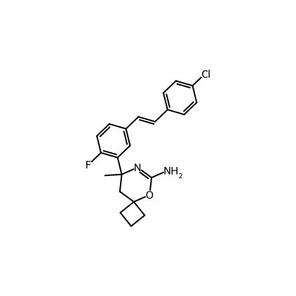 CC1(c2cc(C=Cc3ccc(Cl)cc3)ccc2F)CC2(CCC2)OC(N)=N1